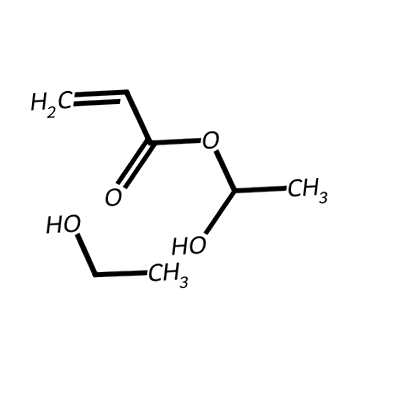 C=CC(=O)OC(C)O.CCO